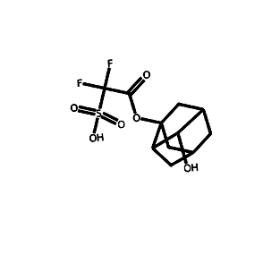 O=C(OC12CC3CC(C1)C(O)C2C3)C(F)(F)S(=O)(=O)O